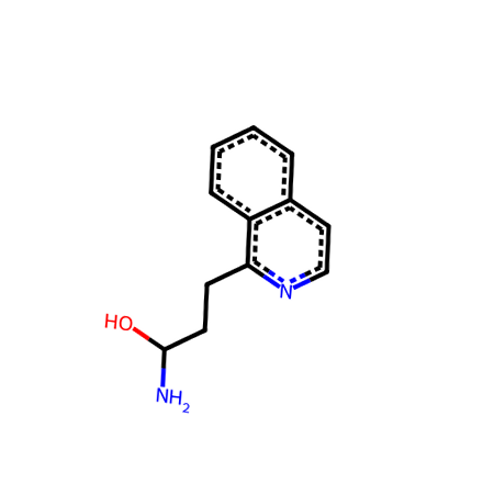 NC(O)CCc1nccc2ccccc12